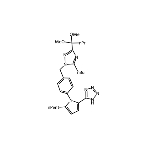 CCCCCc1ccc(-c2nnn[nH]2)n1-c1ccc(Cn2nc(C(CCC)(OC)OC)nc2CCCC)cc1